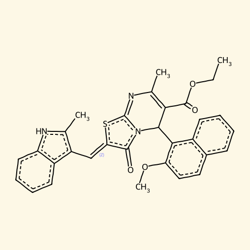 CCOC(=O)C1=C(C)N=c2s/c(=C\c3c(C)[nH]c4ccccc34)c(=O)n2C1c1c(OC)ccc2ccccc12